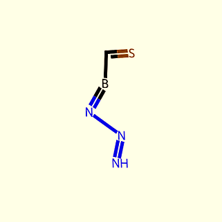 N=NN=BC=S